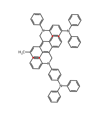 Cc1ccc2c(CN(c3ccccc3)c3ccc(N(c4ccccc4)c4ccccc4)cc3)c3ccccc3c(CN(c3ccccc3)c3ccc(N(c4ccccc4)c4ccccc4)cc3)c2c1